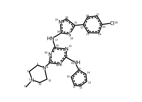 CN1CCN(c2nc(Nc3ccccc3)nc(Nc3ncc(-c4ccc(Cl)cc4)s3)n2)CC1